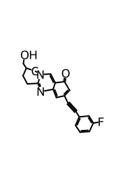 O=c1cc(C#Cc2cccc(F)c2)cc2nc3n(cc1-2)CC(CO)CC3